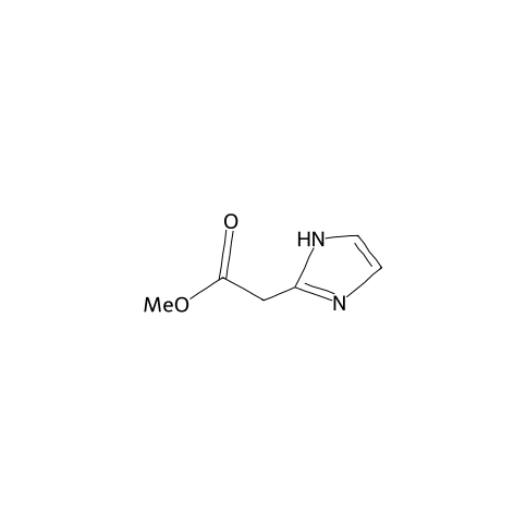 COC(=O)Cc1ncc[nH]1